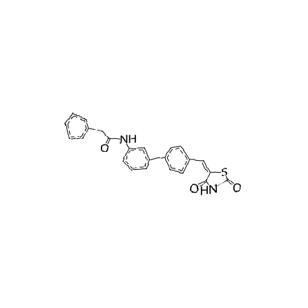 O=C(Cc1ccccc1)Nc1cccc(-c2ccc(C=C3SC(=O)NC3=O)cc2)c1